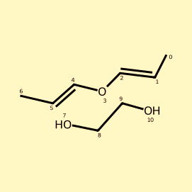 CC=COC=CC.OCCO